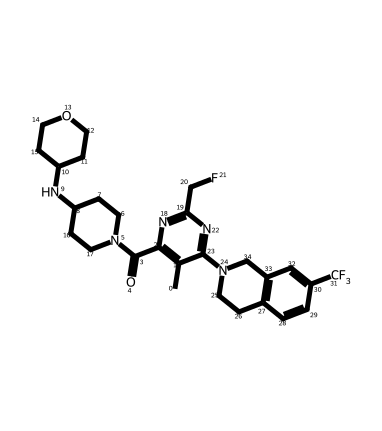 Cc1c(C(=O)N2CCC(NC3CCOCC3)CC2)nc(CF)nc1N1CCc2ccc(C(F)(F)F)cc2C1